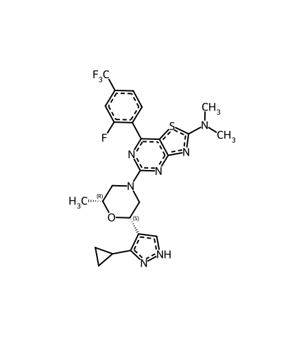 C[C@@H]1CN(c2nc(-c3ccc(C(F)(F)F)cc3F)c3sc(N(C)C)nc3n2)C[C@H](c2c[nH]nc2C2CC2)O1